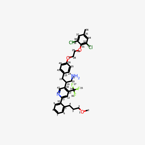 COCCCc1ccccc1-c1cc(C(F)(F)F)c(C(CN)Cc2ccc(OCCOc3c(Cl)cc(C)cc3Cl)cc2)cn1